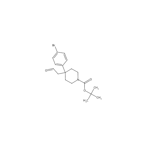 CC(C)(C)OC(=O)N1CCC(CC=O)(c2ccc(Br)cc2)CC1